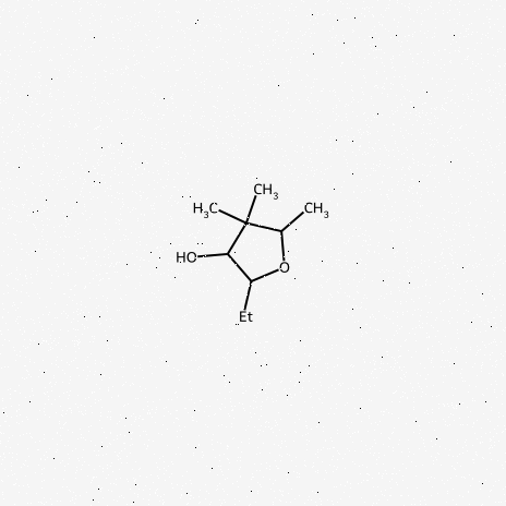 CCC1OC(C)C(C)(C)C1O